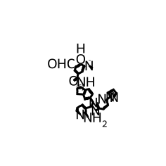 CN(C)c1cc(C(=O)N[C@H]2CCc3cc(-n4c(-c5cccnc5N)nc5ccc(-n6cccn6)nc54)ccc32)cc(C=O)c1O